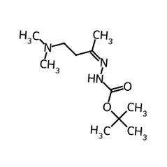 C/C(CCN(C)C)=N/NC(=O)OC(C)(C)C